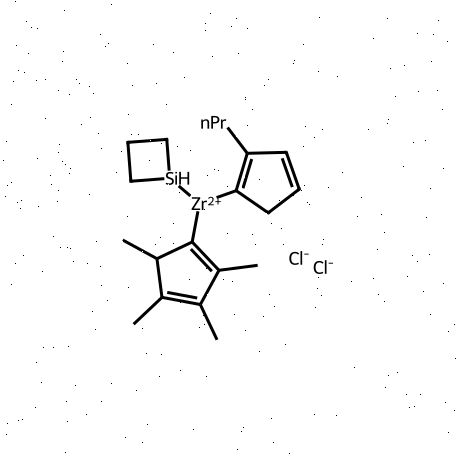 CCCC1=[C]([Zr+2]([C]2=C(C)C(C)=C(C)C2C)[SiH]2CCC2)CC=C1.[Cl-].[Cl-]